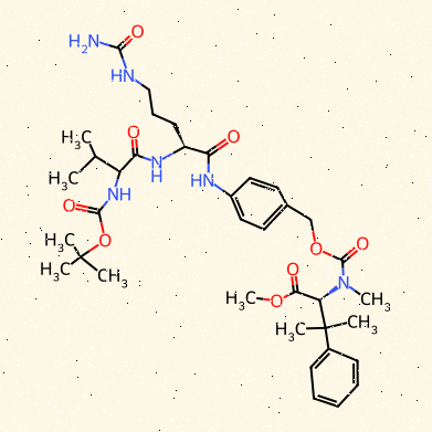 COC(=O)[C@@H](N(C)C(=O)OCc1ccc(NC(=O)[C@H](CCCNC(N)=O)NC(=O)C(NC(=O)OC(C)(C)C)C(C)C)cc1)C(C)(C)c1ccccc1